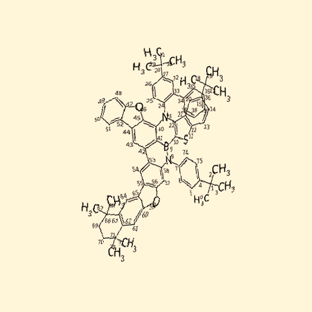 CC(C)(C)c1ccc(N2B3c4sc5ccc(C(C)(C)C)cc5c4N(c4ccc(C(C)(C)C)cc4-c4ccccc4)c4c3c(cc3c4oc4ccccc43)-c3cc4c(cc32)oc2cc3c(cc24)C(C)(C)CCC3(C)C)cc1